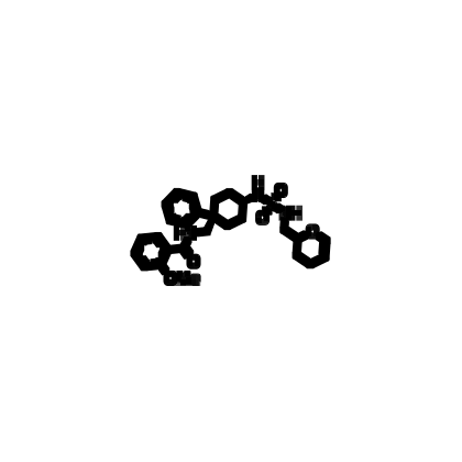 COc1ccccc1C(=O)NC[C@]1(c2ccccc2)CC[C@H](NS(=O)(=O)NCC2CCC=CO2)CC1